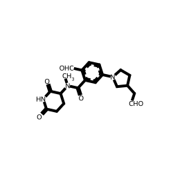 CN(C(=O)c1cc(N2CCC(CC=O)C2)ccc1C=O)C1CCC(=O)NC1=O